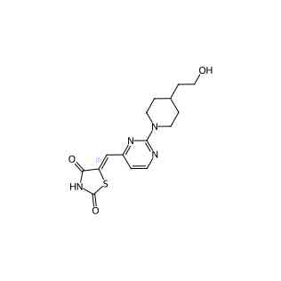 O=C1NC(=O)/C(=C/c2ccnc(N3CCC(CCO)CC3)n2)S1